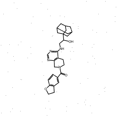 O=C(c1ccc2c(c1)CCO2)N1CCc2c(ncnc2NCC(O)C23CC4CC(CC(C4)C2)C3)C1